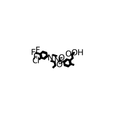 CCC1CN(c2ccc(C(F)(F)F)c(Cl)c2)CCN1S(=O)(=O)c1ccc(C)c(CC(=O)O)c1